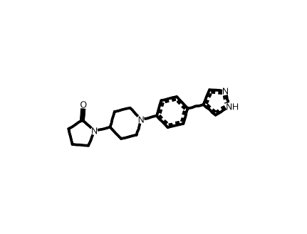 O=C1CCCN1C1CCN(c2ccc(-c3cn[nH]c3)cc2)CC1